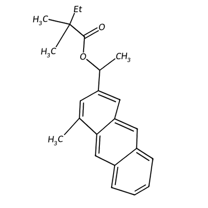 CCC(C)(C)C(=O)OC(C)c1cc(C)c2cc3ccccc3cc2c1